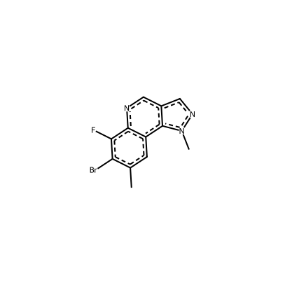 Cc1cc2c(ncc3cnn(C)c32)c(F)c1Br